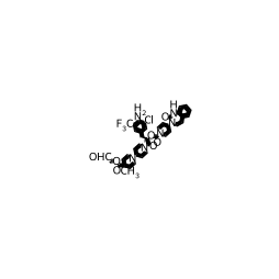 CC1(C(=O)OCC=O)CCN(C2CCN(C(=O)[C@@H](Cc3cc(Cl)c(N)c(C(F)(F)F)c3)OC(=O)N3CCC(N4CCc5ccccc5NC4=O)CC3)CC2)CC1